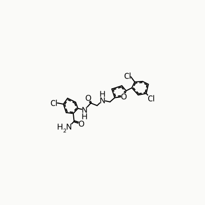 NC(=O)c1cc(Cl)ccc1NC(=O)CNCc1ccc(-c2cc(Cl)ccc2Cl)o1